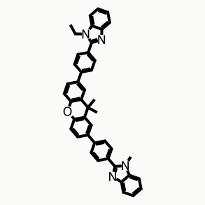 CCn1c(-c2ccc(-c3ccc4c(c3)C(C)(C)c3cc(-c5ccc(-c6nc7ccccc7n6C)cc5)ccc3O4)cc2)nc2ccccc21